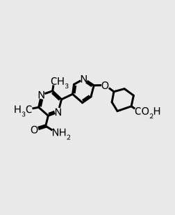 Cc1nc(C)c(-c2ccc(OC3CCC(C(=O)O)CC3)nc2)nc1C(N)=O